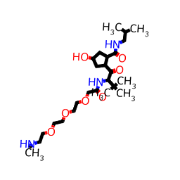 CNCCOCCOCCOCC(=O)NC(C(=O)C1CC(O)CC1C(=O)NCC(C)C)C(C)(C)C